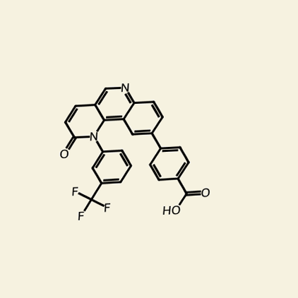 O=C(O)c1ccc(-c2ccc3ncc4ccc(=O)n(-c5cccc(C(F)(F)F)c5)c4c3c2)cc1